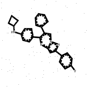 Fc1ccc(-c2cc3nc(-c4ccc(NC5CCC5)cc4)c(-c4ccccc4)cn3n2)cc1